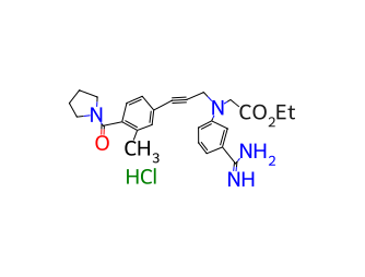 CCOC(=O)CN(CC#Cc1ccc(C(=O)N2CCCC2)c(C)c1)c1cccc(C(=N)N)c1.Cl